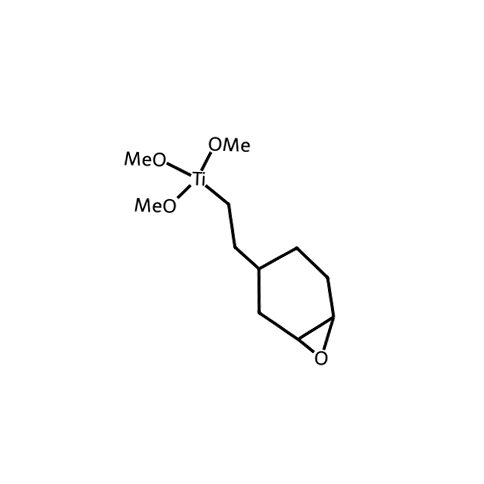 C[O][Ti]([CH2]CC1CCC2OC2C1)([O]C)[O]C